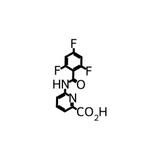 O=C(O)c1cccc(NC(=O)c2c(F)cc(F)cc2F)n1